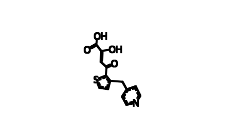 O=C(O)C(O)=CC(=O)c1sccc1Cc1ccncc1